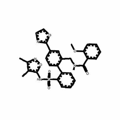 COc1ccccc1C(=O)N(C)Cc1cc(-c2ncco2)ccc1-c1ccccc1S(=O)(=O)Nc1onc(C)c1C